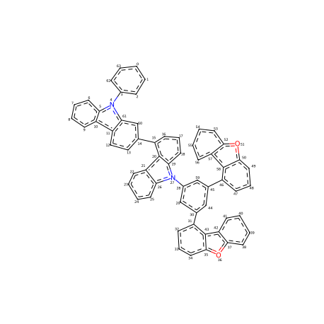 c1ccc(-n2c3ccccc3c3ccc(-c4cccc5c4c4ccccc4n5-c4cc(-c5cccc6oc7ccccc7c56)cc(-c5cccc6oc7ccccc7c56)c4)cc32)cc1